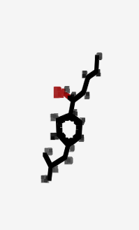 CCCCC(Br)c1ccc(CC(C)C)cc1